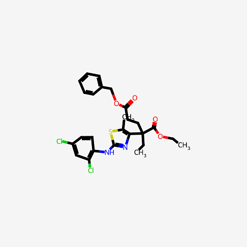 CCOC(=O)C(CC)(CCC(=O)OCc1ccccc1)c1nc(Nc2ccc(Cl)cc2Cl)sc1C